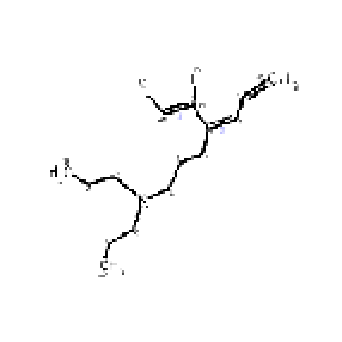 C=C/C=C(CCCN(CCC)CCC)\C(F)=C\F